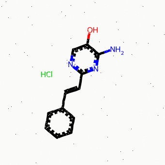 Cl.Nc1nc(/C=C/c2ccccc2)ncc1O